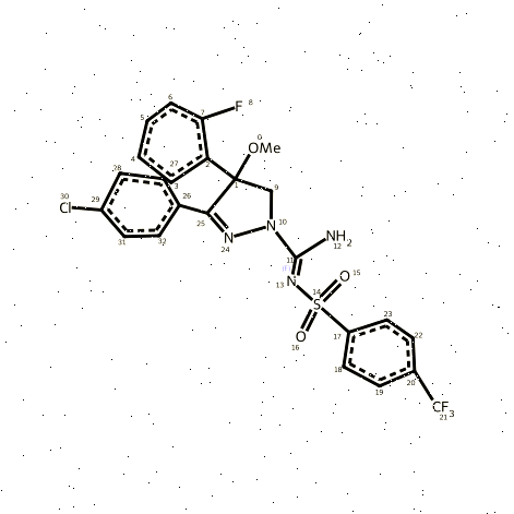 COC1(c2ccccc2F)CN(/C(N)=N/S(=O)(=O)c2ccc(C(F)(F)F)cc2)N=C1c1ccc(Cl)cc1